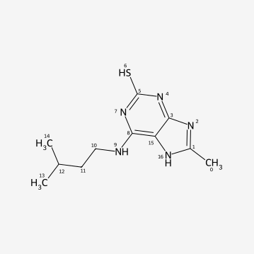 Cc1nc2nc(S)nc(NCCC(C)C)c2[nH]1